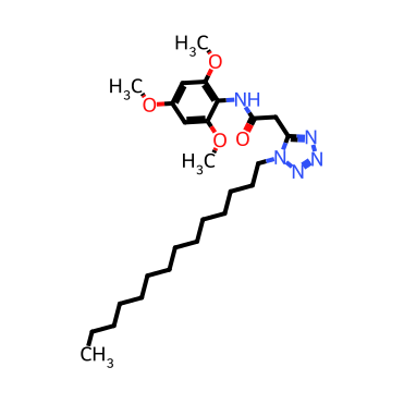 CCCCCCCCCCCCCCn1nnnc1CC(=O)Nc1c(OC)cc(OC)cc1OC